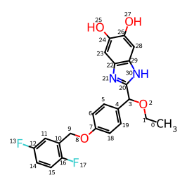 CCOC(c1ccc(OCc2cc(F)ccc2F)cc1)c1nc2cc(O)c(O)cc2[nH]1